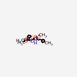 CCOC(=O)C(CCc1ccc(C)cc1)N[C@H]1CSc2ccccc2N(CC(=O)OC(C)(C)C)C1=O